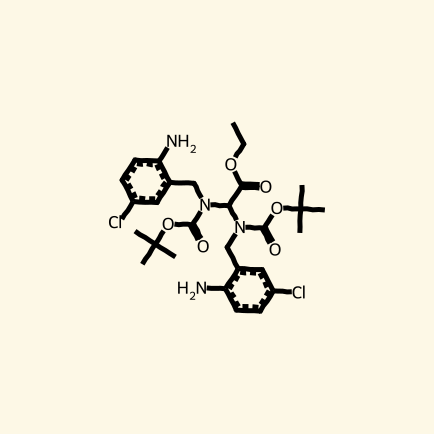 CCOC(=O)C(N(Cc1cc(Cl)ccc1N)C(=O)OC(C)(C)C)N(Cc1cc(Cl)ccc1N)C(=O)OC(C)(C)C